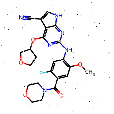 COc1cc(C(=O)N2CCOCC2)c(F)cc1Nc1nc(OC2CCOC2)c2c(C#N)c[nH]c2n1